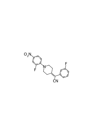 N#CC(=C1CCN(c2ccc([N+](=O)[O-])cc2F)CC1)c1cccc(F)c1